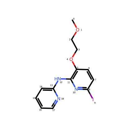 COCCOc1ccc(I)nc1Nc1ccccn1